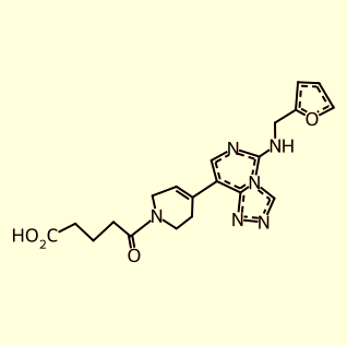 O=C(O)CCCC(=O)N1CC=C(c2cnc(NCc3ccco3)n3cnnc23)CC1